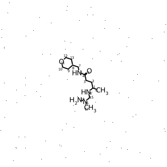 CC(CCC(=O)NCC1CCOCC1)NCN(C)N